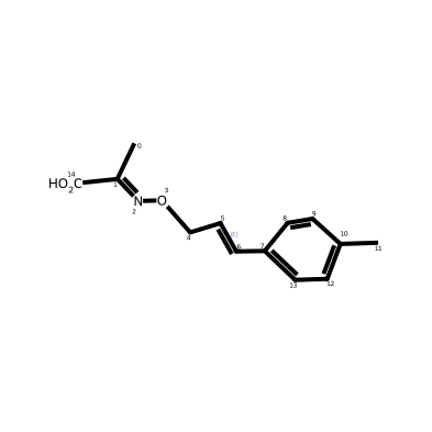 CC(=NOC/C=C/c1ccc(C)cc1)C(=O)O